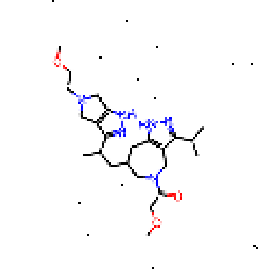 COCCN1Cc2[nH]nc(C(C)CC3Cc4[nH]nc(C(C)C)c4CN(C(=O)COC)C3)c2C1